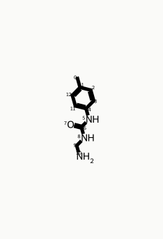 Cc1ccc(NC(=O)NCN)cc1